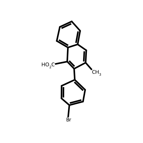 Cc1cc2ccccc2c(C(=O)O)c1-c1ccc(Br)cc1